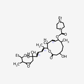 CCC(O)C(C)C1OC1CC(C)(O)/C=C/C=C(\C)C1OC(=O)CC(O)CCC(C)C(OC(=O)N2CCN(CC)CC2)/C=C/C1C